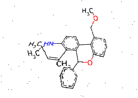 COCc1cccc2c1-c1ccc3c(c1C(c1ccccc1)O2)C(C)=CC(C)(C)N3